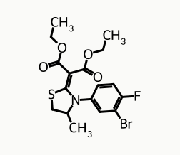 CCOC(=O)C(C(=O)OCC)=C1SCC(C)N1c1ccc(F)c(Br)c1